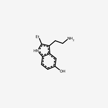 CCc1[nH]c2ccc(O)cc2c1CCN